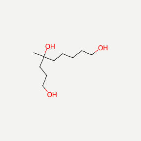 CC(O)(CCCO)CCCCCO